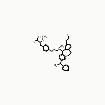 CCCc1ccc2c(c1)C(N(C)CCOc1ccc(CC(OC)C(=O)O)cc1)c1ccc(C(C)c3ccccc3)cc1CC2